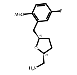 COc1ccc(F)cc1C[C@H]1CC[C@@H](CN)O1